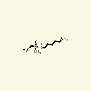 CCCCC[CH2][Ho][Si](C)(C)CC